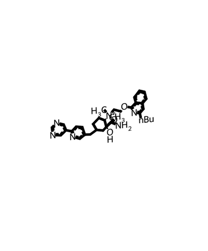 CCCCc1cc2ccccc2c(OCC[N+](C)(C)[C@H]2CCC(Cc3ccc(-c4cncnc4)nc3)C[C@@]2(O)C(N)=O)n1